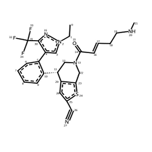 CCn1cc(-c2ccccc2[C@@H]2CN(C(=O)/C=C/CCNC)Cc3sc(C#N)cc32)c(C(F)(F)F)n1